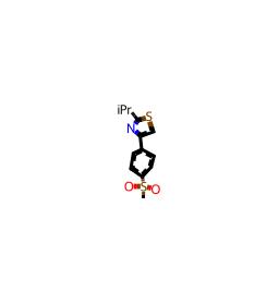 CC(C)c1nc(-c2ccc(S(C)(=O)=O)cc2)cs1